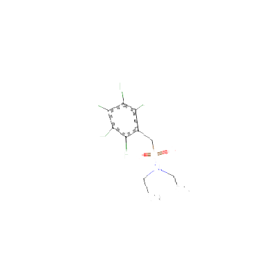 N#CCN(CC#N)S(=O)(=O)Cc1c(F)c(F)c(F)c(F)c1F